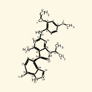 COc1cc(SC)ccc1Nc1nc(N)c2c(-c3ccc(F)c4[nH]ncc34)nn(C(C)C)c2n1